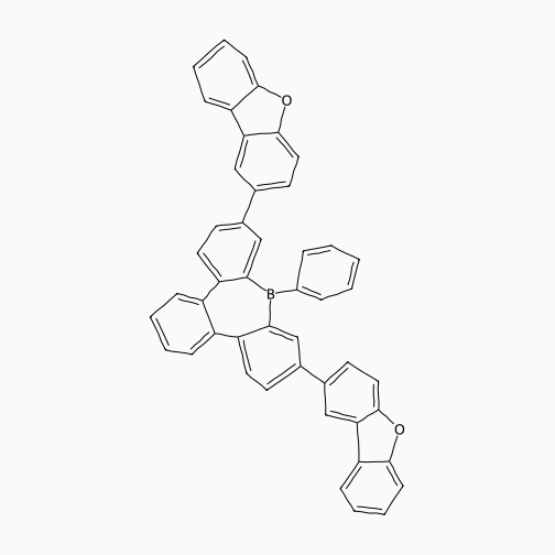 c1ccc(B2c3cc(-c4ccc5oc6ccccc6c5c4)ccc3-c3ccccc3-c3ccc(-c4ccc5oc6ccccc6c5c4)cc32)cc1